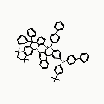 CC(C)(C)c1ccc(N(c2ccc(-c3ccccc3)cc2)c2ccc3c(c2)-c2c4c(cc5ccccc25)N2c5cc6c(cc5C(c5ccccc5)(c5ccccc5)c5cccc(c52)B4N3c2ccc(-c3ccccc3)cc2)C(C)(C)CCC6(C)C)cc1